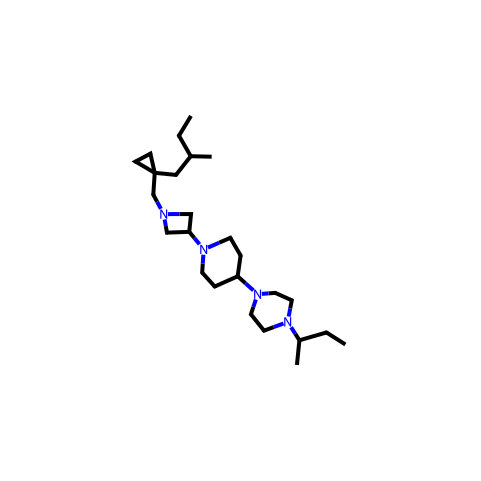 CCC(C)CC1(CN2CC(N3CCC(N4CCN(C(C)CC)CC4)CC3)C2)CC1